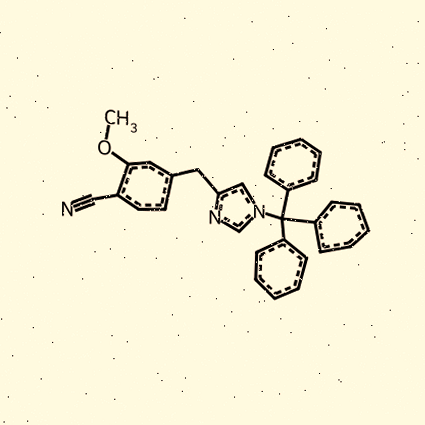 COc1cc(Cc2cn(C(c3ccccc3)(c3ccccc3)c3ccccc3)cn2)ccc1C#N